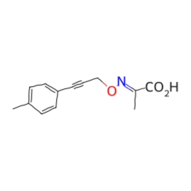 CC(=NOCC#Cc1ccc(C)cc1)C(=O)O